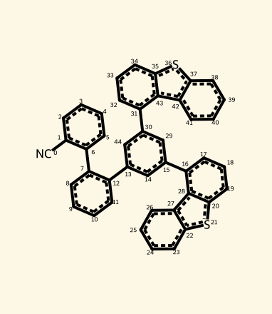 N#Cc1ccccc1-c1ccccc1-c1cc(-c2cccc3sc4ccccc4c23)cc(-c2cccc3sc4ccccc4c23)c1